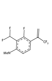 C=C(c1ccc(NC)c(C(F)F)c1F)C(F)(F)F